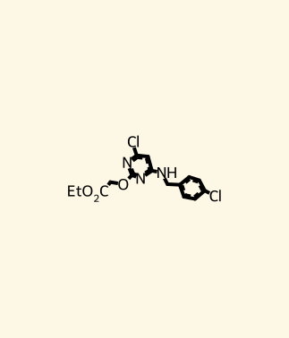 CCOC(=O)COc1nc(Cl)cc(NCc2ccc(Cl)cc2)n1